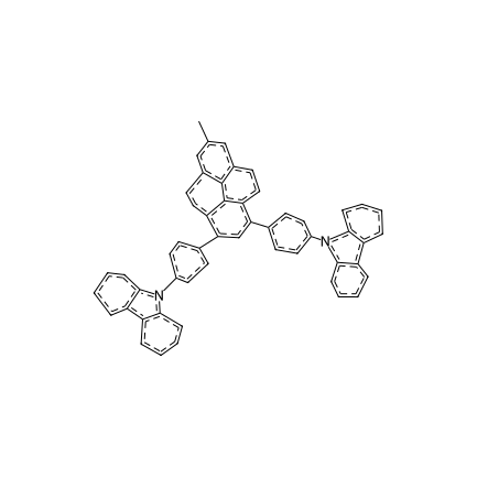 Cc1cc2ccc3c(-c4ccc(-n5c6ccccc6c6ccccc65)cc4)cc(-c4ccc(-n5c6ccccc6c6ccccc65)cc4)c4ccc(c1)c2c34